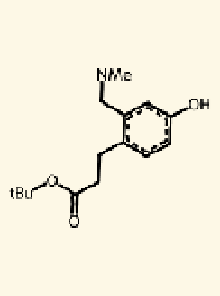 CNCc1cc(O)ccc1CCC(=O)OC(C)(C)C